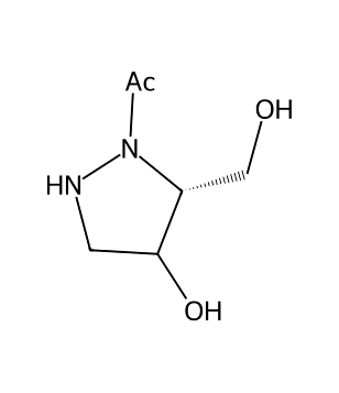 CC(=O)N1NCC(O)[C@H]1CO